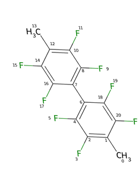 Cc1c(F)c(F)c(-c2c(F)c(F)c(C)c(F)c2F)c(F)c1F